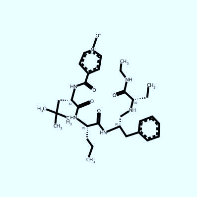 CCC[C@H](NC(=O)[C@H](CC(C)(C)C)NC(=O)c1cc[n+]([O-])cc1)C(=O)N[C@H](CN[C@@H](CC)C(=O)NCC)Cc1ccccc1